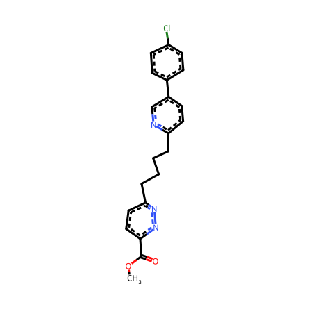 COC(=O)c1ccc(CCCCc2ccc(-c3ccc(Cl)cc3)cn2)nn1